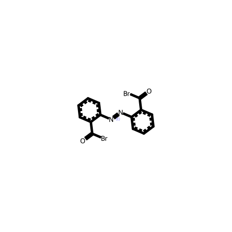 O=C(Br)c1ccccc1/N=N/c1ccccc1C(=O)Br